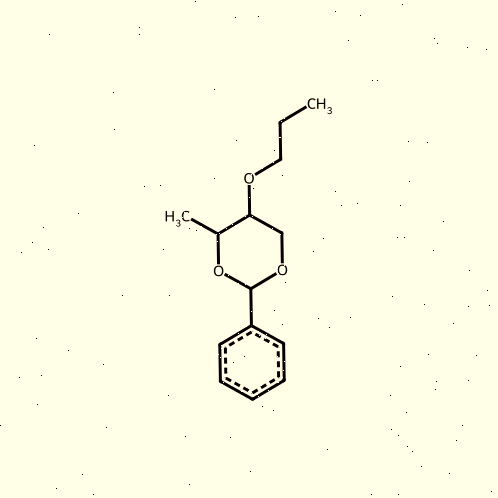 CCCOC1COC(c2ccccc2)OC1C